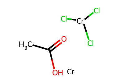 CC(=O)O.[Cl][Cr]([Cl])[Cl].[Cr]